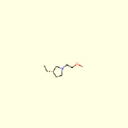 CC[C@H]1CCN(CCOC)C1